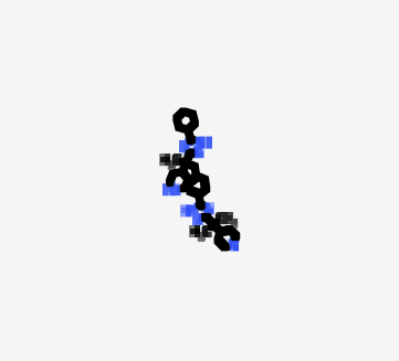 CC(C)(c1ccncc1)c1n[nH]c(-c2ccc(CC(C)(c3n[nH]c(C4CCCCC4)n3)C3CCNCC3)cc2)n1